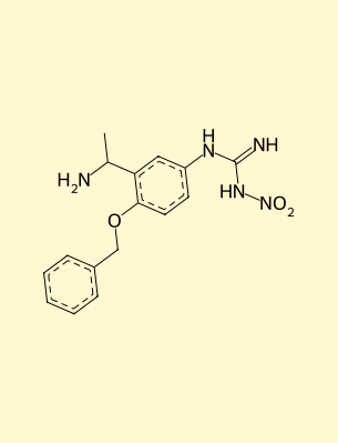 CC(N)c1cc(NC(=N)N[N+](=O)[O-])ccc1OCc1ccccc1